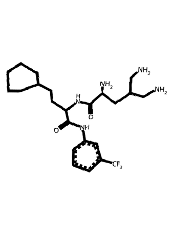 NCC(CN)C[C@H](N)C(=O)NC(CCC1CCCCC1)C(=O)Nc1cccc(C(F)(F)F)c1